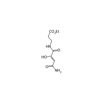 CCOC(=O)CCNC(=O)/C(O)=C/C(N)=O